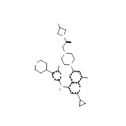 CCN(c1nc(C2CCOCC2)c(C#N)s1)c1cc(C2CC2)nc2c(F)cc(N3CCN(CC(=O)N4CC(O)C4)CC3)cc12